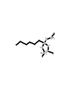 CCCCCC[Si](O[SiH2]C)(O[SiH2]C)O[SiH2]C